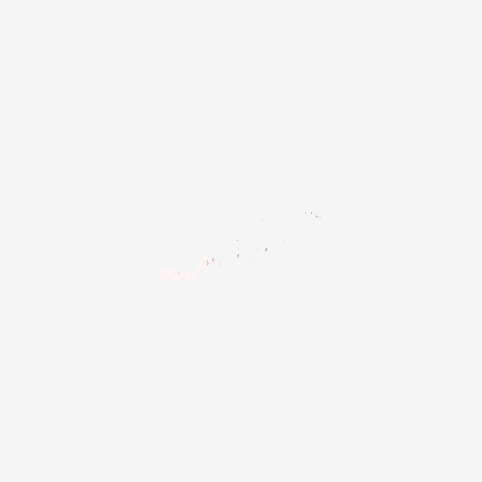 COc1ccc2cc(SOOO)cc(S(=O)(=O)O)c2c1